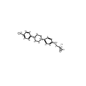 C[C@]1(COc2ccc(N3CCN(c4ccc(Cl)cc4)CC3)cc2)CO1